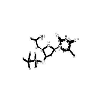 Cc1cn([C@H]2CC(O[Si](C)(C)C(C)(C)C)[C@@H](CC(C)O)O2)c(=O)[nH]c1=O